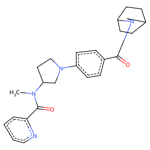 CN(C(=O)c1ccccn1)C1CCN(c2ccc(C(=O)N3CC4CCC(CC4)C3)cc2)C1